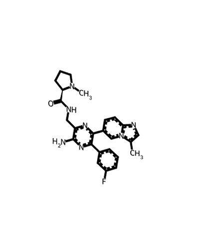 Cc1cnc2ccc(-c3nc(CNC(=O)[C@H]4CCCN4C)c(N)nc3-c3cccc(F)c3)cn12